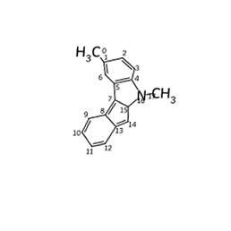 Cc1ccc2c(c1)C1=c3ccccc3=CC1N2C